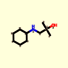 C[Si](C)(O)CNC1CCCCC1